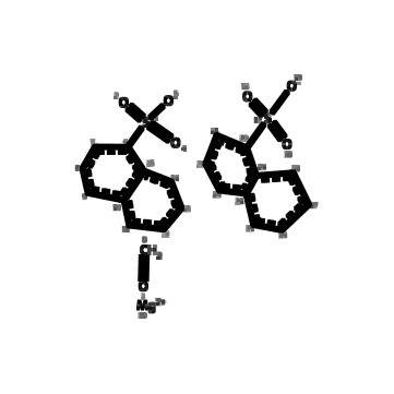 C=O.O=S(=O)([O-])c1cccc2ccccc12.O=S(=O)([O-])c1cccc2ccccc12.[Mg+2]